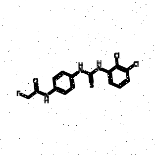 O=C(CF)Nc1ccc(NC(=S)Nc2cccc(Cl)c2Cl)cc1